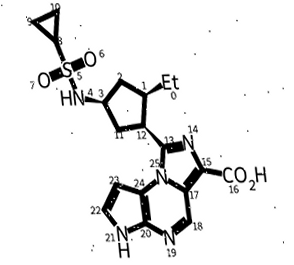 CC[C@@H]1C[C@H](NS(=O)(=O)C2CC2)C[C@@H]1c1nc(C(=O)O)c2cnc3[nH]ccc3n12